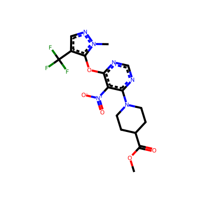 COC(=O)C1CCN(c2ncnc(Oc3c(C(F)(F)F)cnn3C)c2[N+](=O)[O-])CC1